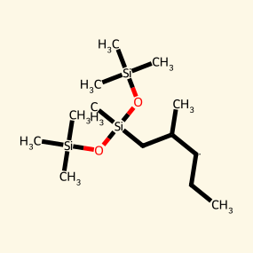 CC[CH]C(C)C[Si](C)(O[Si](C)(C)C)O[Si](C)(C)C